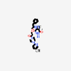 N#Cc1ccc(N2CCN(C(=O)CCOCC(Cc3ccccc3)Nc3cn[nH]c(=O)c3C(F)(F)F)CC2)nc1